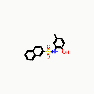 Cc1ccc(O)c(NS(=O)(=O)c2ccc3ccccc3c2)c1